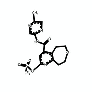 Cc1cnc(NC(=O)c2cc(OS(=O)(=O)C(F)(F)F)nc3c2CCOCC3)cn1